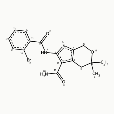 CC1(C)Cc2c(sc(NC(=O)c3ccccc3Br)c2C(N)=O)CO1